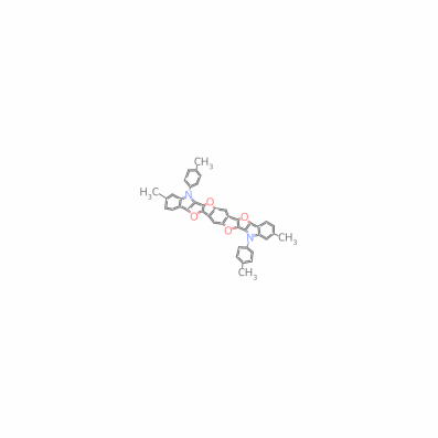 Cc1ccc(-n2c3cc(C)ccc3c3oc4c5cc6oc7c(oc8c9ccc(C)cc9n(-c9ccc(C)cc9)c87)c6cc5oc4c32)cc1